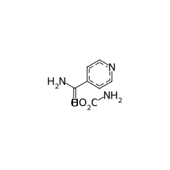 NC(=O)O.NC(=O)c1ccncc1